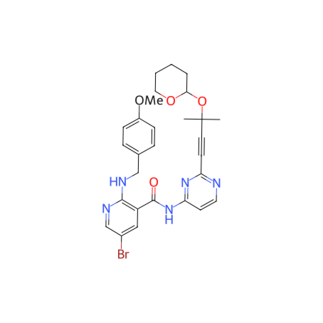 COc1ccc(CNc2ncc(Br)cc2C(=O)Nc2ccnc(C#CC(C)(C)OC3CCCCO3)n2)cc1